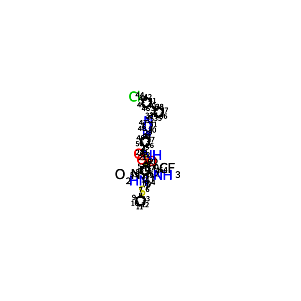 CCC(NCC[C@H](CSc1ccccc1)Nc1ccc(S(=O)(=O)NC(=O)c2ccc(N3CCN(Cc4ccccc4-c4ccc(Cl)cc4)CC3)cc2)cc1[N+](=O)[O-])C(F)(F)F